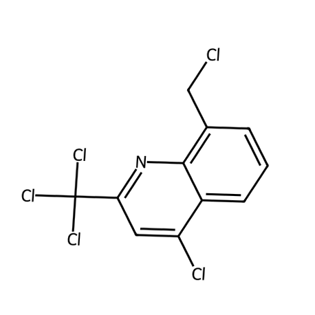 ClCc1cccc2c(Cl)cc(C(Cl)(Cl)Cl)nc12